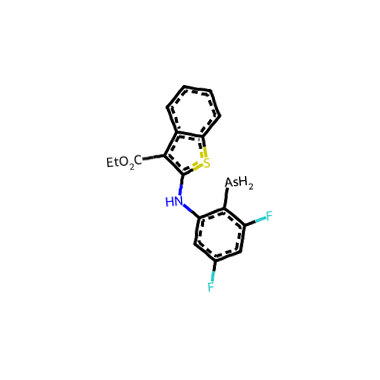 CCOC(=O)c1c(Nc2cc(F)cc(F)c2[AsH2])sc2ccccc12